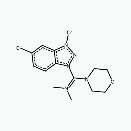 C[N+](C)=C(N1CCOCC1)n1n[n+]([O-])c2cc(Cl)ccc21